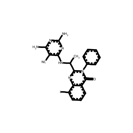 CC(Nc1nc(N)nc(N)c1C#N)c1nc2c(I)cccc2c(=O)n1-c1ccccc1